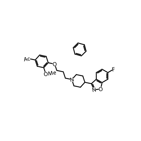 COc1cc(C(C)=O)ccc1OCCCN1CCC(c2noc3cc(F)ccc23)CC1.c1ccccc1